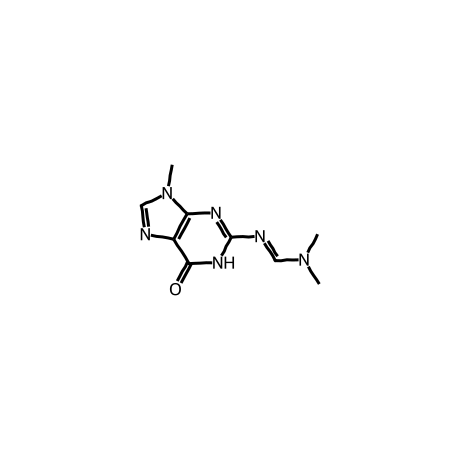 CN(C)/C=N/c1nc2c(ncn2C)c(=O)[nH]1